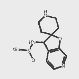 CC(C)(C)[S+]([O-])NC1c2ccncc2OC12CCNCC2